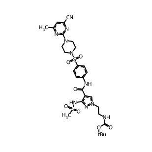 Cc1cc(C#N)nc(N2CCN(S(=O)(=O)c3ccc(NC(=O)c4cn(CCNC(=O)OC(C)(C)C)nc4NS(C)(=O)=O)cc3)CC2)n1